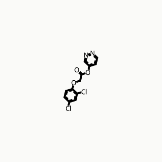 O=C(COc1ccc(Cl)cc1Cl)Oc1ccnnc1